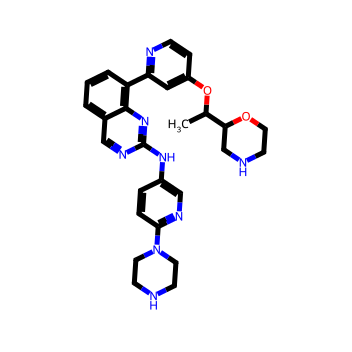 CC(Oc1ccnc(-c2cccc3cnc(Nc4ccc(N5CCNCC5)nc4)nc23)c1)C1CNCCO1